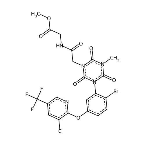 COC(=O)CNC(=O)Cn1c(=O)n(C)c(=O)n(-c2cc(Oc3ncc(C(F)(F)F)cc3Cl)ccc2Br)c1=O